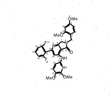 COc1ccc(CN2Cc3nc(-c4c(F)cccc4F)cc(Nc4ccc(OC)c(OC)n4)c3C2=O)c(OC)c1